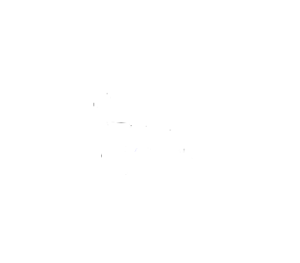 CCCC(/C(=C/C(=O)O)C(=O)O)([Si](OC)(OC)OC)[Si](OC)(OC)OC